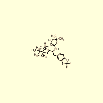 CC(C)(C)OC(=O)NC(Cc1ccc2c(c1)OC(F)(F)O2)[C@@H](CO)O[Si](C)(C)C(C)(C)C